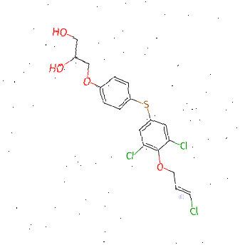 OCC(O)COc1ccc(Sc2cc(Cl)c(OC/C=C/Cl)c(Cl)c2)cc1